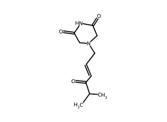 CC(C)C(=O)/C=C/CN1CC(=O)NC(=O)C1